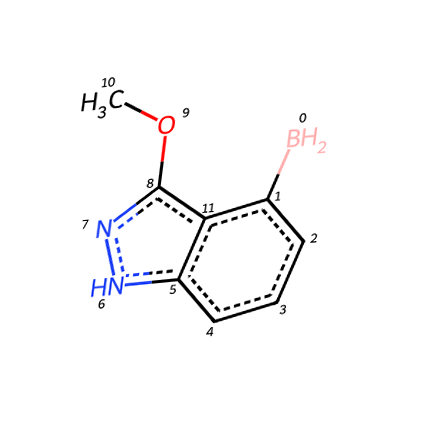 Bc1cccc2[nH]nc(OC)c12